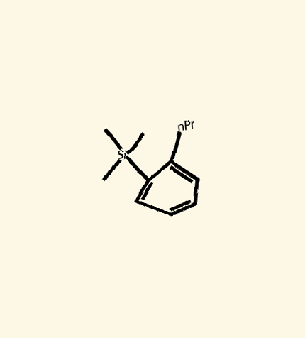 CCCc1ccccc1[Si](C)(C)C